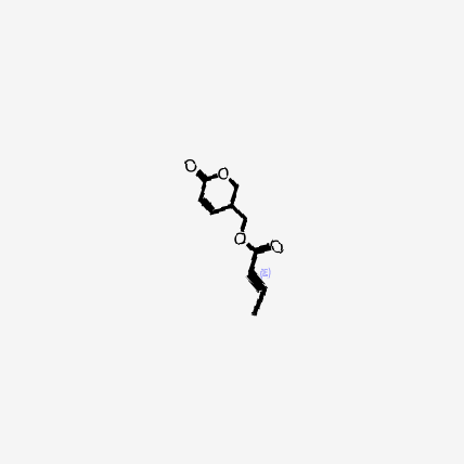 C/C=C/C(=O)OCC1C=CC(=O)OC1